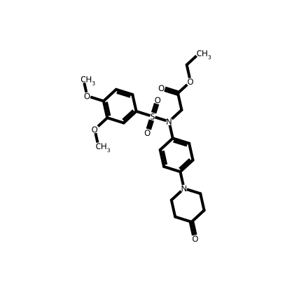 CCOC(=O)CN(c1ccc(N2CCC(=O)CC2)cc1)S(=O)(=O)c1ccc(OC)c(OC)c1